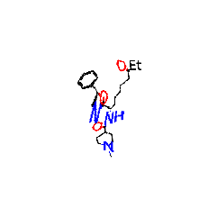 CCC(=O)CCCCCC(NC(=O)C1CCN(C)CC1)c1ncc(-c2ccccc2)o1